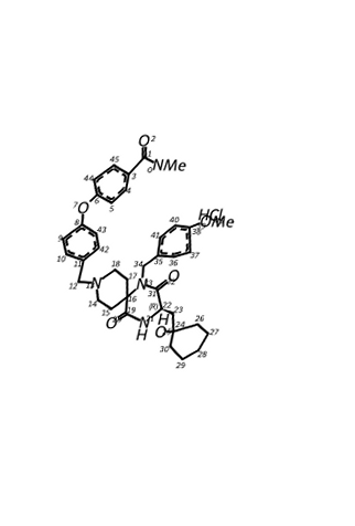 CNC(=O)c1ccc(Oc2ccc(CN3CCC4(CC3)C(=O)N[C@H](CC3(O)CCCCC3)C(=O)N4Cc3ccc(OC)cc3)cc2)cc1.Cl